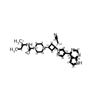 CC[C@@H](C)NC(=O)N1CCN([C@H]2C[C@@](CC#N)(n3cc(-c4ncnc5[nH]ccc45)cn3)C2)CC1